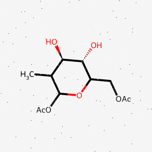 CC(=O)OCC1OC(OC(C)=O)C(C)[C@@H](O)[C@@H]1O